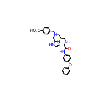 CN(CCCN(Cc1ccc(C(=O)O)cc1)Cc1ncc[nH]1)CC(=O)Nc1ccc(Oc2ccccc2)cc1